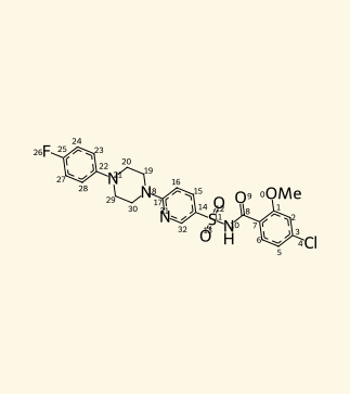 COc1cc(Cl)ccc1C(=O)NS(=O)(=O)c1ccc(N2CCN(c3ccc(F)cc3)CC2)nc1